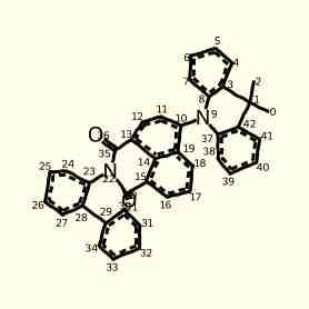 CC1(C)c2ccccc2N(c2ccc3c4c(cccc24)C(=O)N(c2ccccc2-c2ccccc2)C3=O)c2ccccc21